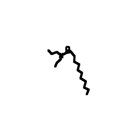 CCCCCCCCCCC1OC1N(CCC)CCC